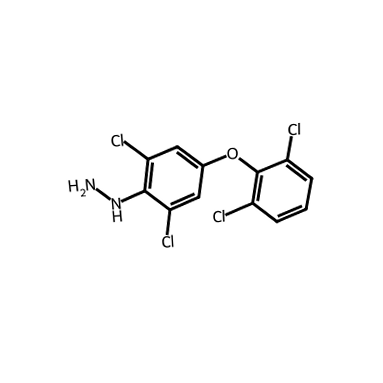 NNc1c(Cl)cc(Oc2c(Cl)cccc2Cl)cc1Cl